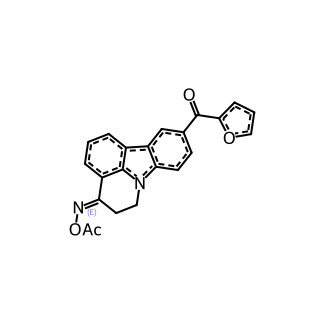 CC(=O)O/N=C1\CCn2c3ccc(C(=O)c4ccco4)cc3c3cccc1c32